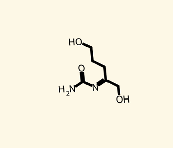 NC(=O)N=C(CO)CCCO